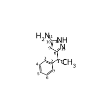 CC(c1ccccc1)c1cc(N)[nH]n1